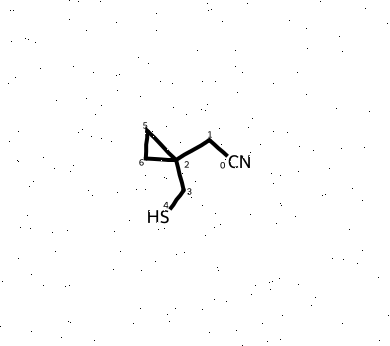 N#CCC1(CS)CC1